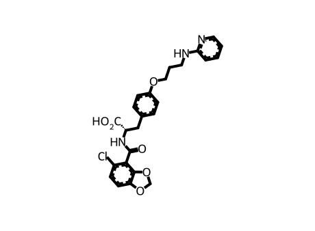 O=C(N[C@@H](Cc1ccc(OCCCNc2ccccn2)cc1)C(=O)O)c1c(Cl)ccc2c1OCO2